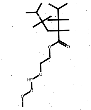 COOPOCCOC(=O)C(C)(CC(C)(C)C(C)C)C(C)(C)C(C)C